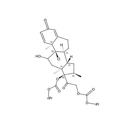 CCCOC(=O)O[C@]1(C(=O)COC(=O)OC(C)C)[C@H](C)C[C@H]2[C@@H]3CCC4=CC(=O)C=C[C@]4(C)[C@@]3(Cl)C(O)C[C@@]21C